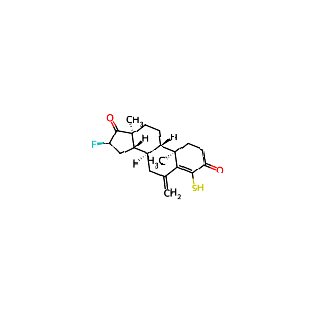 C=C1C[C@@H]2[C@H](CC[C@]3(C)C(=O)[C@H](F)C[C@@H]23)[C@@]2(C)CCC(=O)C(S)=C12